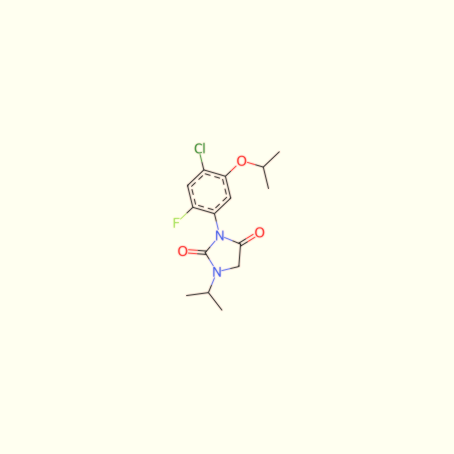 CC(C)Oc1cc(N2C(=O)CN(C(C)C)C2=O)c(F)cc1Cl